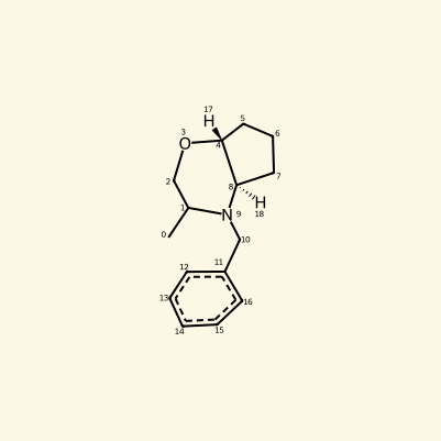 CC1CO[C@@H]2CCC[C@H]2N1Cc1ccccc1